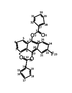 O=C(Oc1c2ccccc2c(OC(=O)c2ccccc2)c2cc(F)ccc12)c1ccccc1